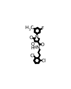 Cc1cc(F)cc(N2CC(C(=O)NCCCc3c(Cl)cccc3Cl)=C(O)C2=O)c1